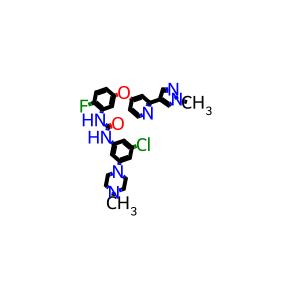 CN1CCN(c2cc(Cl)cc(NC(=O)Nc3cc(Oc4ccnc(-c5cnn(C)c5)c4)ccc3F)c2)CC1